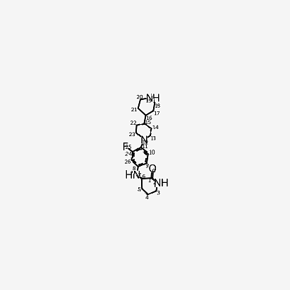 O=C1NCCCC1Nc1ccc(N2CCC(C3CCNCC3)CC2)c(F)c1